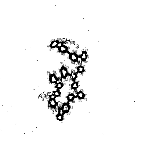 CC1(C)c2ccccc2-c2ccc(-c3ccc4c(c3)c3ccccc3n4-c3ccc(-c4cc(-c5cccc(-n6c7ccccc7c7cc(-c8ccc9c(c8)C(C)(C)c8ccccc8-9)ccc76)c5)nc(-c5cccc(-n6c7ccccc7c7cc(-c8ccc9c(c8)C(C)(C)c8ccccc8-9)ccc76)c5)n4)cc3)cc21